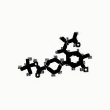 CC(=O)N(C)C(C)c1cc(C)c(Cl)cc1N1CCN(C(=O)OC(C)(C)C)CC1